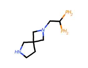 PC(P)CN1CC2(CCNC2)C1